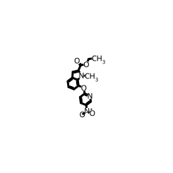 CCOC(=O)c1cc2cccc(Oc3ccc([N+](=O)[O-])cn3)c2n1C